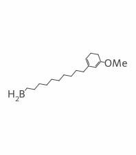 BCCCCCCCCCCC1=CCCC(OC)=C1